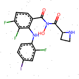 O=C(c1ccc(F)c(F)c1Nc1ccc(I)cc1F)N(O)C(=O)C1CCN1